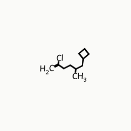 C=C(Cl)CCC(C)CC1CCC1